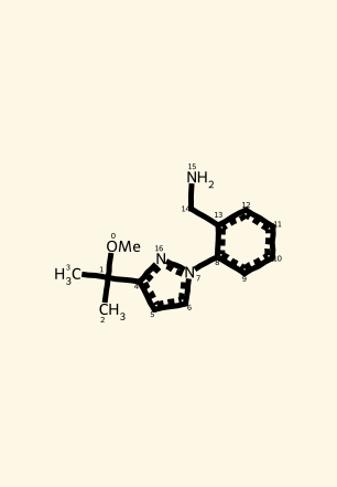 COC(C)(C)c1ccn(-c2ccccc2CN)n1